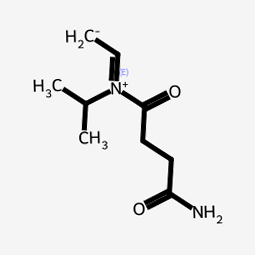 [CH2-]/C=[N+](/C(=O)CCC(N)=O)C(C)C